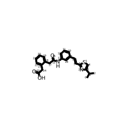 CC(C)c1csc(C=Cc2cccc(NC(=O)Cc3ccccc3CC(=O)O)c2)n1